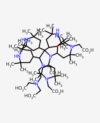 CC1(C)CC(C(N(CCN(CC(=O)O)CC(=O)O)CC(=O)O)C(C2CC(C)(C)NC(C)(C)C2)(C2CC(C)(C)NC(C)(C)C2)N(C2CC(C)(C)N(CC(=O)O)C(C)(C)C2)C2CC(C)(C)N(CC(=O)O)C(C)(C)C2)CC(C)(C)N1